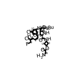 CC(/C=C\C=C(\Cl)CF)[C@H]1[C@H](C(=O)N[C@H]2C[C@@H](OC(=O)CN)C2)N[C@H](CC(C)(C)C)[C@]12C(=O)Nc1cc(Cl)ccc12